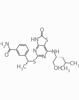 CC(C)C[C@H](CO)Nc1nc(S[C@@H](C)c2cccc(C(N)=O)c2)nc2[nH]c(=O)sc12